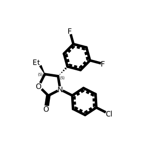 CC[C@@H]1OC(=O)N(c2ccc(Cl)cc2)[C@H]1c1cc(F)cc(F)c1